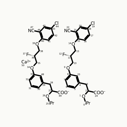 CC(C)OC(Cc1cccc(OC[C@H](F)COc2ccc(Cl)cc2C#N)c1)C(=O)[O-].CC(C)OC(Cc1cccc(OC[C@H](F)COc2ccc(Cl)cc2C#N)c1)C(=O)[O-].[Ca+2]